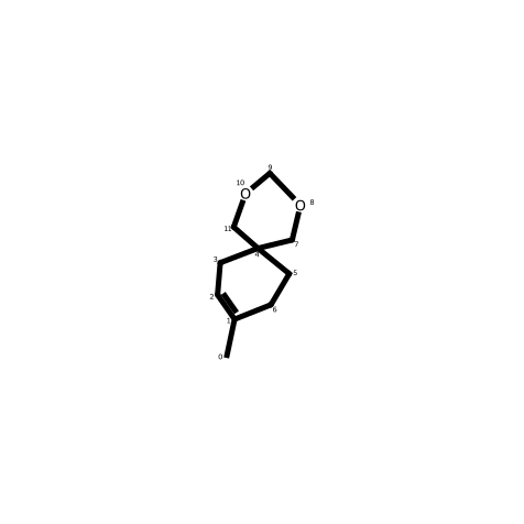 CC1=CCC2(CC1)COCOC2